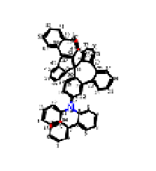 c1ccc(-c2ccccc2N(c2ccccc2)c2ccc3c(c2)-c2ccccc2-c2ccccc2C32c3ccccc3-c3c2c2ccccc2c2ccccc32)cc1